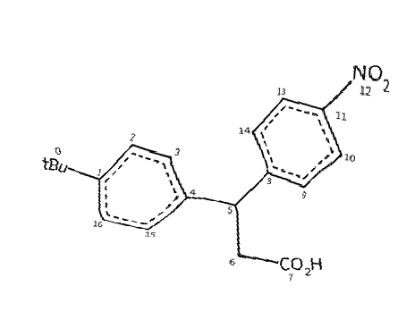 CC(C)(C)c1ccc(C(CC(=O)O)c2ccc([N+](=O)[O-])cc2)cc1